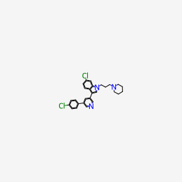 Clc1ccc(-c2cncc(-c3cn(CCCN4CCCCC4)c4cc(Cl)ccc34)c2)cc1